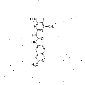 Cc1cc2cc(NC(=O)Nc3nc(C)c(F)c(N)n3)ccc2cn1